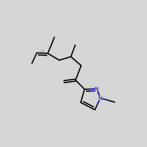 C=C(CC(C)C/C(C)=C\C)c1ccn(C)n1